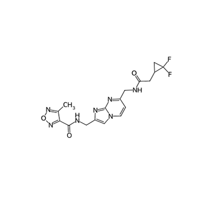 Cc1nonc1C(=O)NCc1cn2ccc(CNC(=O)CC3CC3(F)F)nc2n1